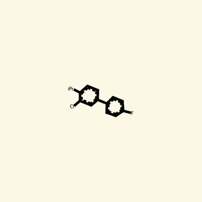 CC(C)c1ccc(-c2ccc(F)cc2)cc1Cl